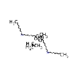 CCCCCCCC/C=C\CCCCCCCC(=O)OC(C)C(Cl)OC(=O)CCCCCCC/C=C\CCCCCCCC.CN(C)C